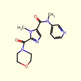 CN(C(=O)c1cnc(C(=O)N2CCOCC2)n1C)c1cccnc1